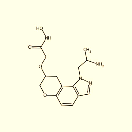 CC(N)Cn1ncc2ccc3c(c21)CC(OCC(=O)NO)CO3